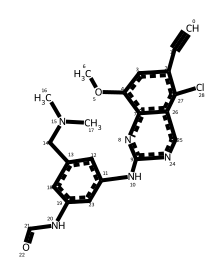 C#Cc1cc(OC)c2nc(Nc3cc(CN(C)C)cc(NC=O)c3)ncc2c1Cl